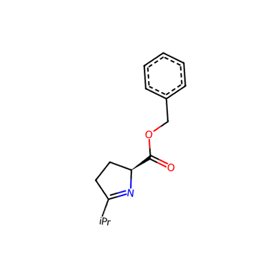 CC(C)C1=N[C@H](C(=O)OCc2ccccc2)CC1